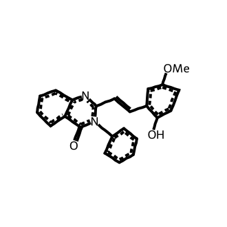 COc1ccc(O)c(C=Cc2nc3ccccc3c(=O)n2-c2ccccc2)c1